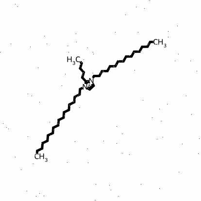 CCCCCCCCCCCCCCCCCC[n+]1ccn(CCCCCCCCCCCCCCCC)c1CCCCC